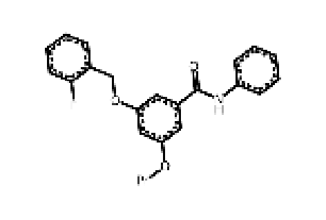 CC(C)Oc1cc(OCc2ccccc2F)cc(C(=O)Nc2ccccc2)c1